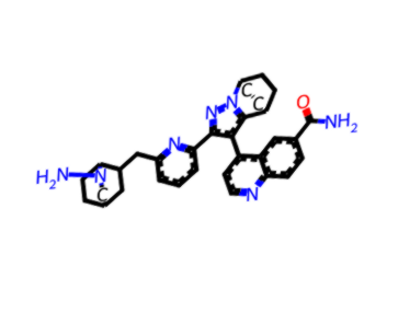 NC(=O)c1ccc2nccc(-c3c(-c4cccc(CC5CC6CCC5N(N)C6)n4)nn4c3C3CCC4CC3)c2c1